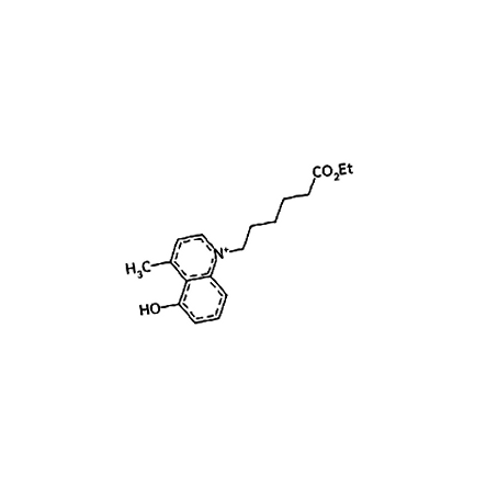 CCOC(=O)CCCCC[n+]1ccc(C)c2c(O)cccc21